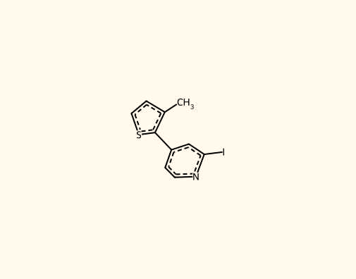 Cc1ccsc1-c1ccnc(I)c1